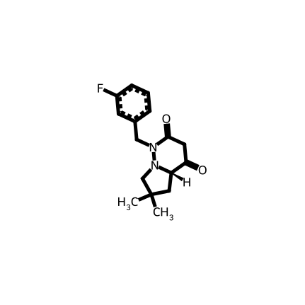 CC1(C)C[C@H]2C(=O)CC(=O)N(Cc3cccc(F)c3)N2C1